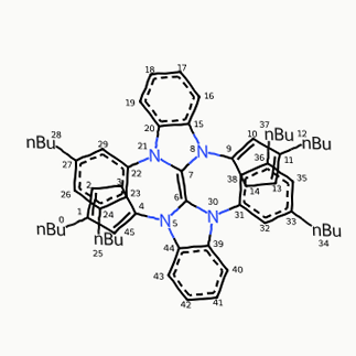 CCCCC1=CCC(N2/C(=C3/N(C4=CC(CCCC)=CC4)c4ccccc4N3c3cc(CCCC)cc(CCCC)c3)N(c3cc(CCCC)cc(CCCC)c3)c3ccccc32)=C1